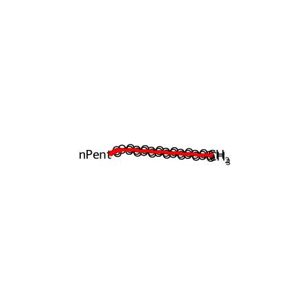 C=C(C)C(=O)OCCCCCC(=O)OCCCCCC(=O)OCCCCCC(=O)OCCCCCC(=O)OCCCCCC(=O)OCCCCCC(=O)OCCCCCC(=O)OCCCCCC(=O)OCCCCCC(=O)OCCCCCC(=O)OCCCCCC(=O)OCCCCCCOc1ccc(C(=O)Oc2ccc([C@H]3CC[C@H](CCCCC)CC3)cc2)cc1